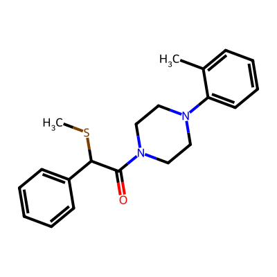 CSC(C(=O)N1CCN(c2ccccc2C)CC1)c1ccccc1